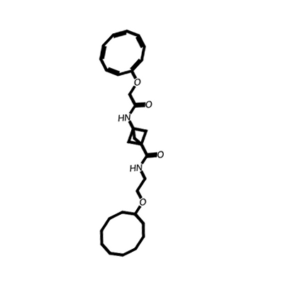 O=C(COc1ccccccccc1)NC12CC(C(=O)NCCOC3CCCCCCCCC3)(C1)C2